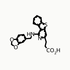 O=C(O)CCc1cc2sc3ccccc3c2c(NCc2ccc3c(c2)OCO3)n1